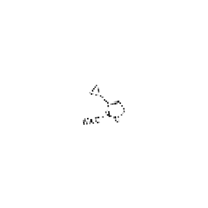 CON1O[CH]C=C1C1CC1